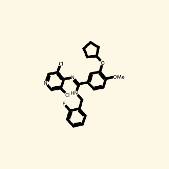 COc1ccc(C(=Nc2c(Cl)cncc2Cl)NCc2ccccc2F)cc1OC1CCCC1